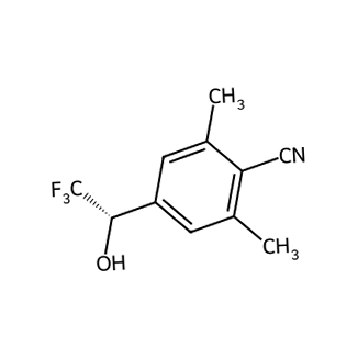 Cc1cc([C@H](O)C(F)(F)F)cc(C)c1C#N